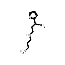 NCCCNCCC(N)c1cccs1